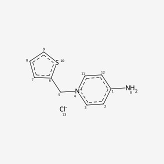 Nc1cc[n+](Cc2cccs2)cc1.[Cl-]